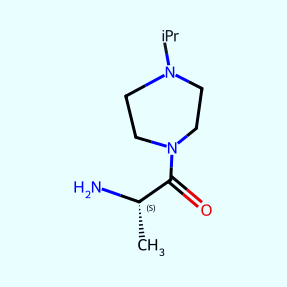 CC(C)N1CCN(C(=O)[C@H](C)N)CC1